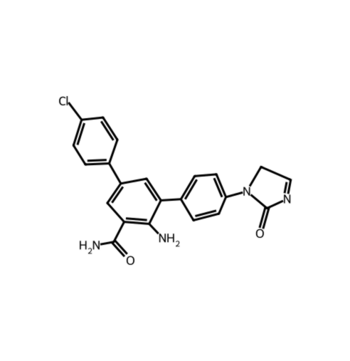 NC(=O)c1cc(-c2ccc(Cl)cc2)cc(-c2ccc(N3CC=NC3=O)cc2)c1N